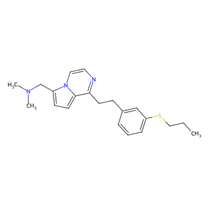 CCCSc1cccc(CCc2nccn3c(CN(C)C)ccc23)c1